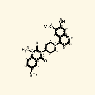 COc1cc2c(N3CCC(n4c(=O)c5cc(C)ccc5n(C)c4=O)CC3)ncnc2cc1O